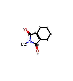 CCN1C(=O)C2=C(CCCC2)C1=O